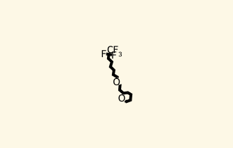 FC(F)(F)C(F)(F)CCCCCCOCCC1CCCCO1